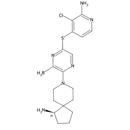 Bc1nc(Sc2ccnc(N)c2Cl)cnc1N1CCC2(CCC[C@H]2N)CC1